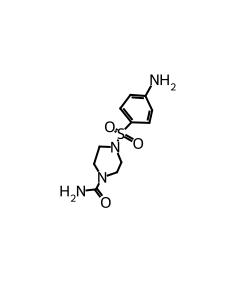 NC(=O)N1CCN(S(=O)(=O)c2ccc(N)cc2)CC1